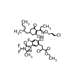 CCOC(=O)C(Cl)Cc1cc(-n2nc(C)n(C(F)F)c2=O)c(F)cc1Cl.CCSC(C)CC1CC(=O)C(/C(CC)=N/OC/C=C/Cl)=C(O)C1